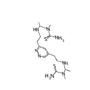 CC(NCCc1cnnc(CCNC(C)N(C)C(N)=S)c1)N(C)C(N)=S